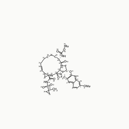 COc1ccc2nc(C(F)(F)F)c(O[C@@H]3C[C@H]4C(=O)N[C@]5(C(=O)NS(=O)(=O)C6(C)CC6)CC5/C=C\CCCCC[C@H](NC(=O)OC(C)(C)C)C(=O)N4C3)nc2c1